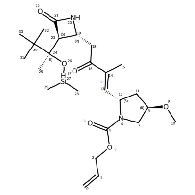 C=CCOC(=O)N1C[C@H](OC)C[C@H]1/C=C(\C)C(=O)C[C@H]1NC(=O)[C@@H]1[C@@](C)(O[SiH](C)C)C(C)(C)C